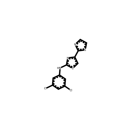 Clc1cc(Cl)cc(Nc2nc(-c3nccs3)cs2)c1